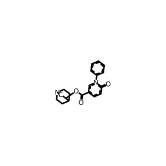 O=C(OC1CN2CCC1CC2)c1ccc(=O)n(-c2ccccc2)c1